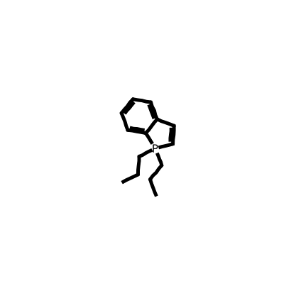 CCC[P]1(CCC)C=Cc2ccccc21